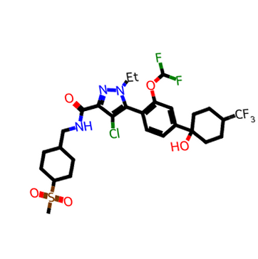 CCn1nc(C(=O)NCC2CCC(S(C)(=O)=O)CC2)c(Cl)c1-c1ccc(C2(O)CCC(C(F)(F)F)CC2)cc1OC(F)F